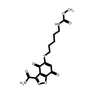 COC(=O)NCCCCCSC1=CC(=O)c2onc(C(N)=O)c2C1=O